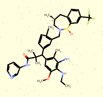 CCNc1c(OC)cc(C(c2ccc(C)c(CN3C[C@@H](C)Cc4ccc(C(F)(F)F)cc4[S+]3[O-])c2)C(C)(C)C(=O)Nc2cccnc2)c(C)c1N